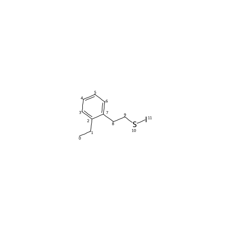 CCc1ccccc1CCSI